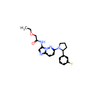 CCOCC(=O)Nc1cnc2ccc(N3CCCC3c3cccc(F)c3)nn12